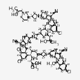 C[C@H](O)CN1CCC[C@@H](C2CN(c3cnc4c(C#N)nn([C@H](CC5C[C@H](C6CN(c7cnc8c(C#N)nn([C@H](CC9C[C@@H](C%10CN(c%11cnc%12c(C#N)nn([C@H](C)c%13ccc(Cl)cc%13Cl)c%12n%11)C%10)CN(C[C@@H](C)O)C9)c9ccc(Cl)cc9Cl)c8n7)C6)CN(C[C@H](C)O)C5)c5ccc(Cl)cc5Cl)c4n3)C2)C1